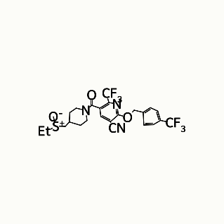 CC[S+]([O-])CC1CCN(C(=O)c2cc(C#N)c(OCc3ccc(C(F)(F)F)cc3)nc2C(F)(F)F)CC1